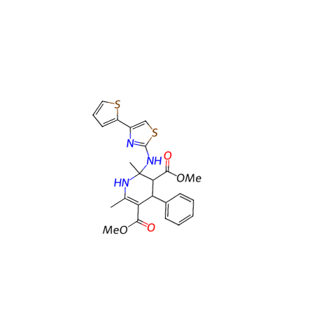 COC(=O)C1=C(C)NC(C)(Nc2nc(-c3cccs3)cs2)C(C(=O)OC)C1c1ccccc1